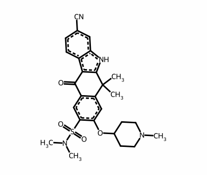 CN1CCC(Oc2cc3c(cc2S(=O)(=O)N(C)C)C(=O)c2c([nH]c4cc(C#N)ccc24)C3(C)C)CC1